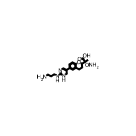 CC(ON)(C(=O)O)C1CCc2cc(C3=CN=C(NCCCN)NC3)ccc2O1